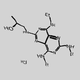 CCNc1nc(NCC)c2nc(NCC(C)O)nc(NCC)c2n1.Cl